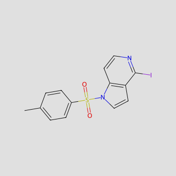 Cc1ccc(S(=O)(=O)n2ccc3c(I)nccc32)cc1